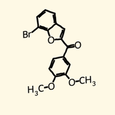 COc1ccc(C(=O)c2cc3cccc(Br)c3o2)cc1OC